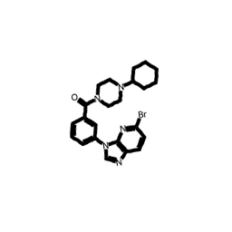 O=C(c1cccc(-n2cnc3ccc(Br)nc32)c1)N1CCN(C2CCCCC2)CC1